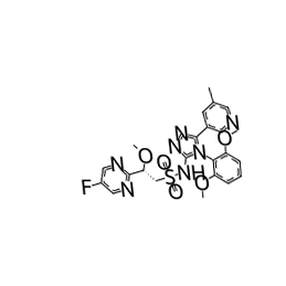 COc1cccc(OC)c1-n1c(NS(=O)(=O)C[C@@H](OC)c2ncc(F)cn2)nnc1-c1cncc(C)c1